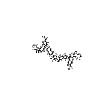 Cc1c2oc3cc4cc(N(c5ccc(C(C)C)cc5)c5ccc6oc7ccccc7c6c5)ccc4cc3c2cc2c1oc1cc3cc(N(c4ccc(C(C)C)cc4)c4ccc5oc6ccccc6c5c4)ccc3cc12